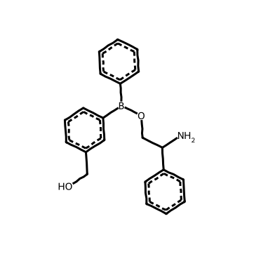 NC(COB(c1ccccc1)c1cccc(CO)c1)c1ccccc1